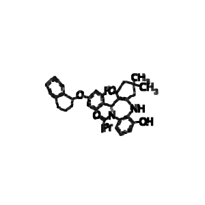 CC(C)C(=O)N1c2cccc(O)c2NC2=C(C(=O)CC(C)(C)C2)C1c1ccc(OC2CCCc3ccccc32)cc1F